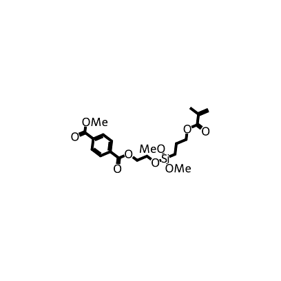 C=C(C)C(=O)OCCC[Si](OC)(OC)OCCOC(=O)c1ccc(C(=O)OC)cc1